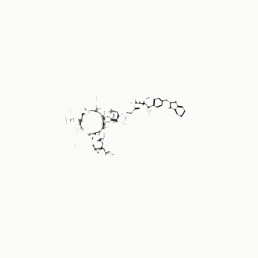 CO[C@H](c1ccc(CC2C(=O)c3ccccc3C2=O)cc1)[C@@H](CF)n1cc(CCN(C)[C@H]2C[C@@H](C)O[C@@H](O[C@@H]3[C@@H](C)[C@H](O[C@H]4C[C@@](C)(OC)[C@@H](O)[C@H](C)O4)[C@@H](C)C(=O)O[C@H](I)[C@@](C)(O)[C@H](O)[C@@H](C)N(C)C[C@H](C)C[C@@]3(C)O)[C@@H]2O)nn1